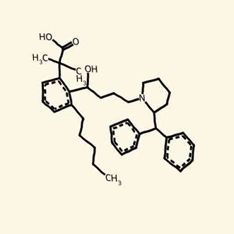 CCCCCc1cccc(C(C)(C)C(=O)O)c1C(O)CCCN1CCCCC1C(c1ccccc1)c1ccccc1